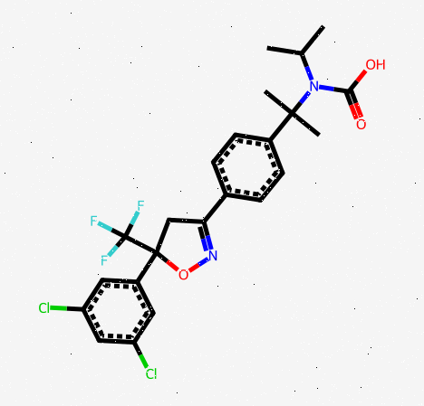 CC(C)N(C(=O)O)C(C)(C)c1ccc(C2=NOC(c3cc(Cl)cc(Cl)c3)(C(F)(F)F)C2)cc1